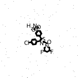 NS(=O)(=O)c1ccc(-c2sc(C(=O)N3CC(F)CC(F)C3)nc2-c2ccc(Cl)cc2)cc1